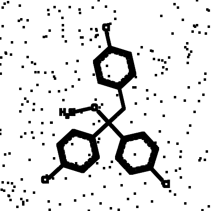 [SiH3]OC(Cc1ccc(Cl)cc1)(c1ccc(Cl)cc1)c1ccc(Cl)cc1